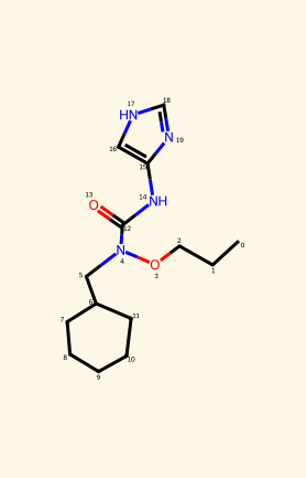 CCCON(CC1CCCCC1)C(=O)Nc1c[nH]cn1